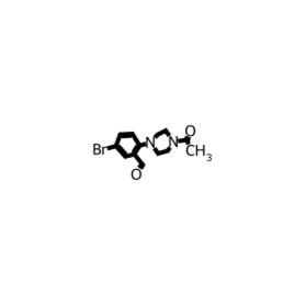 CC(=O)N1CCN(c2ccc(Br)cc2C=O)CC1